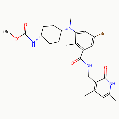 Cc1cc(C)c(CNC(=O)c2cc(Br)cc(N(C)[C@H]3CC[C@@H](NC(=O)OC(C)(C)C)CC3)c2C)c(=O)[nH]1